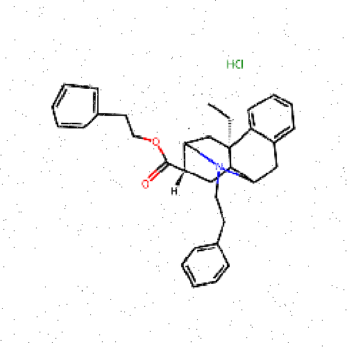 CC[C@@]12CC3[C@@H](C(=O)OCCc4ccccc4)CC1C(Cc1ccccc12)N3CCc1ccccc1.Cl